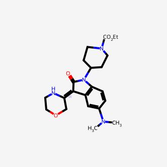 CCOC(=O)N1CCC(N2C(=O)/C(=C3/COCCN3)c3cc(N(C)C)ccc32)CC1